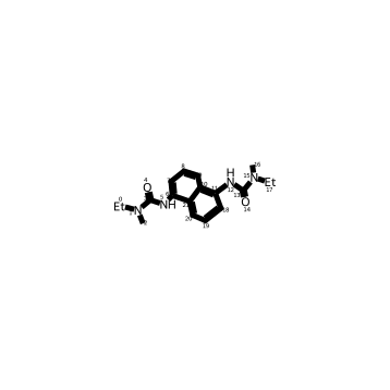 CCN(C)C(=O)Nc1cccc2c(NC(=O)N(C)CC)cccc12